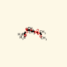 COCC(C)OC(=O)OCCOC(C)(C)C(=O)OCC(C)OC